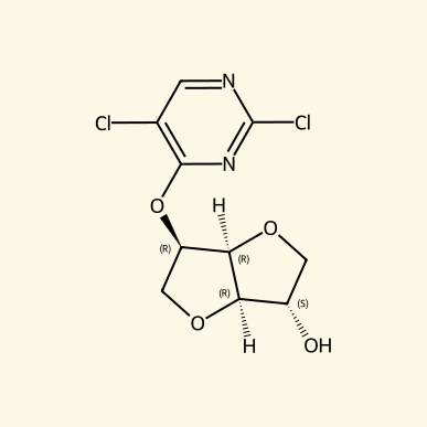 O[C@H]1CO[C@H]2[C@@H]1OC[C@H]2Oc1nc(Cl)ncc1Cl